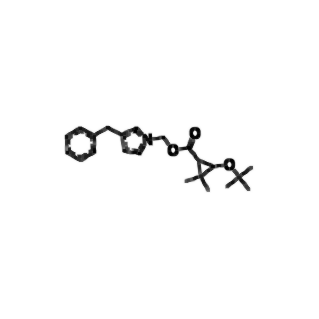 CC(C)(C)OC1C(C(=O)OCn2ccc(Cc3ccccc3)c2)C1(C)C